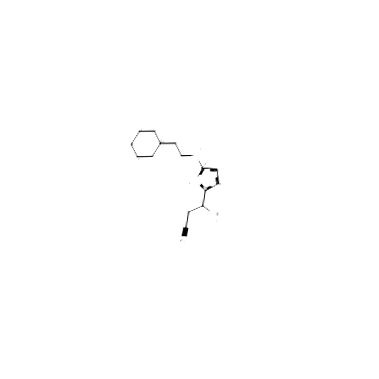 N#CCC(O)c1ccc(OCCC2CCCCC2)o1